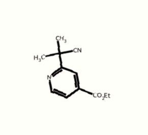 CCOC(=O)c1ccnc(C(C)(C)C#N)c1